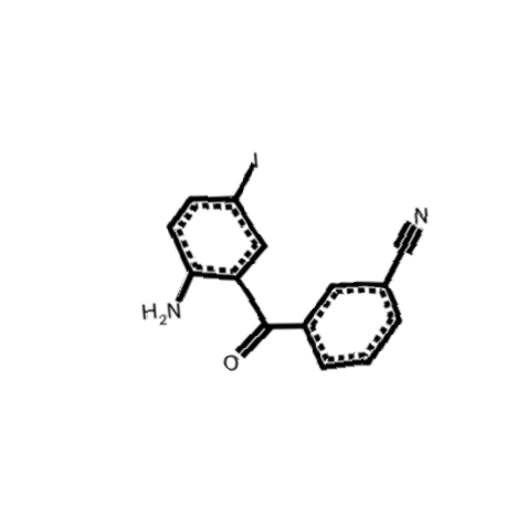 N#Cc1cccc(C(=O)c2cc(I)ccc2N)c1